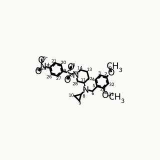 COc1ccc(CN(C2CC2)[C@@H]2CCCN(S(=O)(=O)c3ccc([N+](=O)[O-])cc3)C2)c(OC)c1